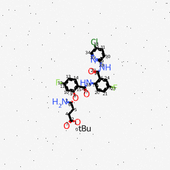 CC(C)(C)OC(=O)CCC(N)Oc1cc(F)ccc1C(=O)Nc1ccc(F)cc1C(=O)Nc1ccc(Cl)cn1